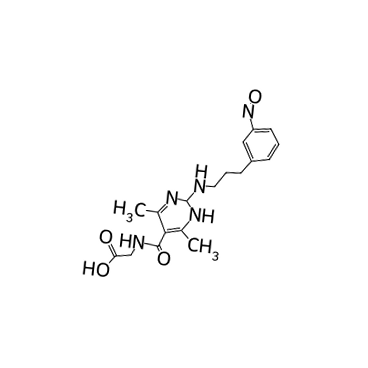 CC1=NC(NCCCc2cccc(N=O)c2)NC(C)=C1C(=O)NCC(=O)O